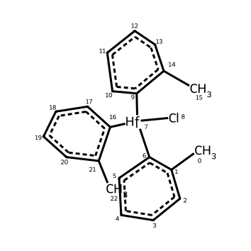 Cc1cccc[c]1[Hf]([Cl])([c]1ccccc1C)[c]1ccccc1C